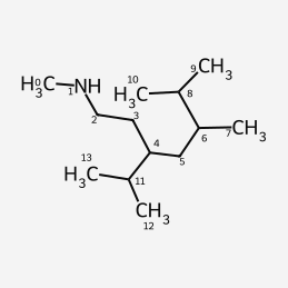 CNCCC(CC(C)C(C)C)C(C)C